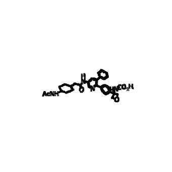 CC(=O)NC1CCC(CC(=O)Nc2cnc(-c3ccc(C4(NC(=O)O)COC4)cc3)c(-c3ccccc3)c2)CC1